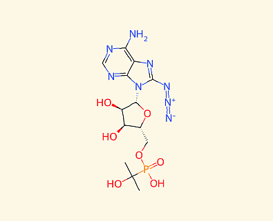 CC(C)(O)P(=O)(O)OC[C@H]1O[C@@H](n2c(N=[N+]=[N-])nc3c(N)ncnc32)[C@H](O)[C@@H]1O